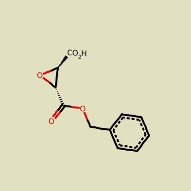 O=C(O)[C@@H]1O[C@H]1C(=O)OCc1ccccc1